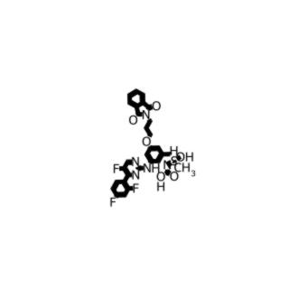 C[SH](O)(Cc1cc(Nc2ncc(F)c(-c3ccc(F)cc3F)n2)cc(OCCCN2C(=O)c3ccccc3C2=O)c1)=NC(=O)O